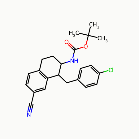 CC(C)(C)OC(=O)NC1CCc2ccc(C#N)cc2C1Cc1ccc(Cl)cc1